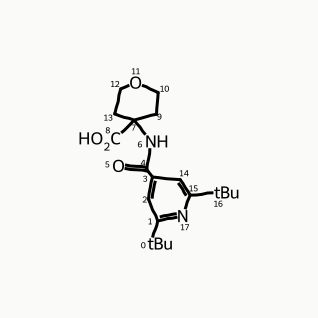 CC(C)(C)c1cc(C(=O)NC2(C(=O)O)CCOCC2)cc(C(C)(C)C)n1